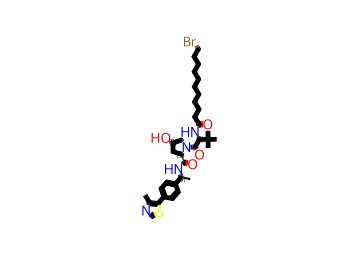 Cc1ncsc1-c1ccc([C@H](C)NC(=O)[C@@H]2C[C@@H](O)CN2C(=O)[C@@H](NC(=O)CCCCCCCCCCBr)C(C)(C)C)cc1